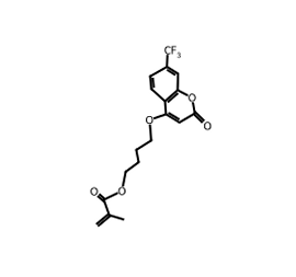 C=C(C)C(=O)OCCCCOc1cc(=O)oc2cc(C(F)(F)F)ccc12